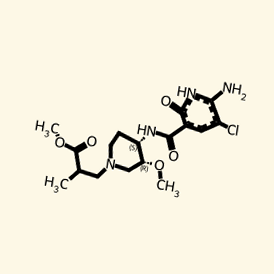 COC(=O)C(C)CN1CC[C@H](NC(=O)c2cc(Cl)c(N)[nH]c2=O)[C@H](OC)C1